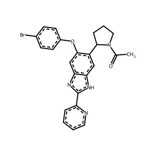 CC(=O)N1CCCC1c1cc2[nH]c(-c3ccccn3)nc2cc1Oc1ccc(Br)cc1